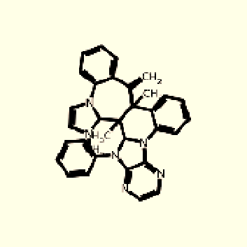 C=C1c2ccccc2N2C=CN(C)C2C2(C)C3N(c4ccccc4)c4nccnc4N3c3ccccc3C12C